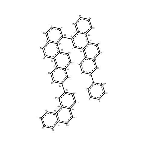 c1cnc(-c2ccc3c(ccc4c5ccccc5c(-c5cccc6ccc7c8ccc(-c9ccc%10ccc%11ccccc%11c%10n9)cc8ccc7c56)cc34)c2)nc1